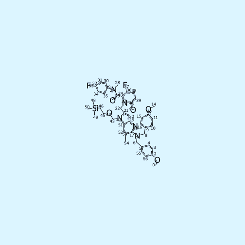 COc1ccc(CN(Cc2ccc(OC)cc2)c2nc3cc(Cn4c(C(=O)N(C)c5ccc(F)cc5)c(F)ccc4=O)n(COCC[Si](C)(C)C)c3cc2C)cc1